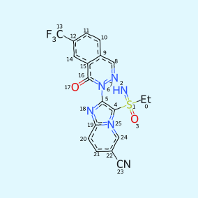 CCS(=N)(=O)c1c(-n2ncc3ccc(C(F)(F)F)cc3c2=O)nc2ccc(C#N)cn12